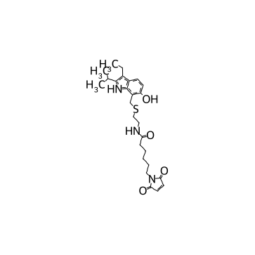 CCc1c(C(C)C)[nH]c2c(CSCCNC(=O)CCCCCN3C(=O)C=CC3=O)c(O)ccc12